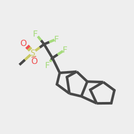 CS(=O)(=O)C(F)(F)C(F)(F)C1CC2CC1C1C3CCC(C3)C21